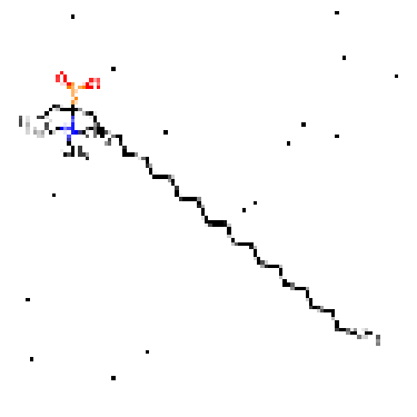 CCCCCCCCCCC=CCCCCCCCCCC(CC)(P(=O)=O)[N+](C)(C)C